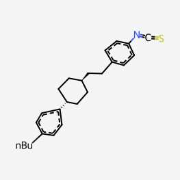 CCCCc1ccc([C@H]2CC[C@H](CCc3ccc(N=C=S)cc3)CC2)cc1